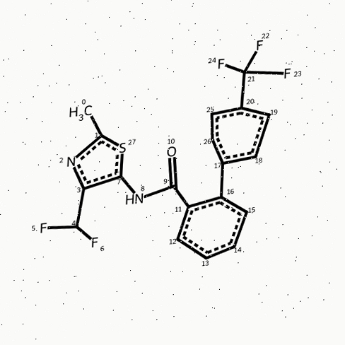 Cc1nc(C(F)F)c(NC(=O)c2ccccc2-c2ccc(C(F)(F)F)cc2)s1